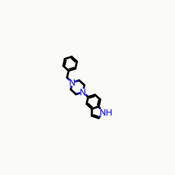 c1ccc(CN2CCN(c3ccc4[nH]ccc4c3)CC2)cc1